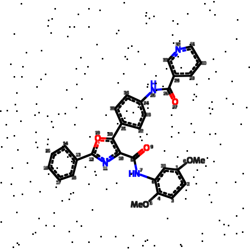 COc1ccc(OC)c(NC(=O)c2nc(-c3ccccc3)oc2-c2ccc(NC(=O)c3cccnc3)cc2)c1